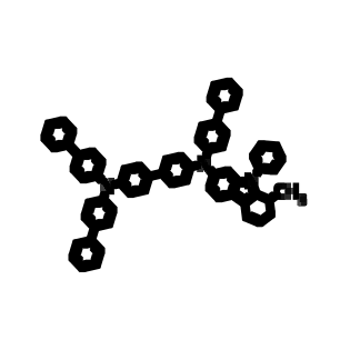 CC1CC=Cc2c1n(-c1ccccc1)c1cc(N(c3ccc(-c4ccccc4)cc3)c3ccc(-c4ccc(N(c5ccc(-c6ccccc6)cc5)c5ccc(-c6ccccc6)cc5)cc4)cc3)ccc21